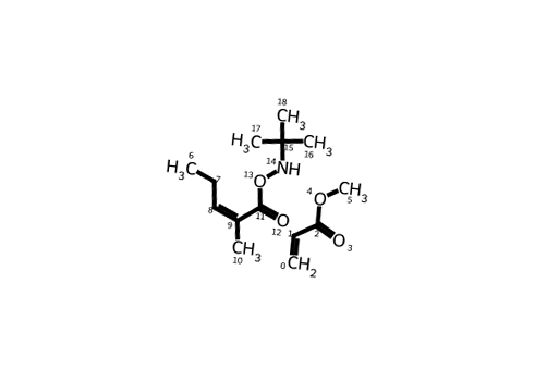 C=CC(=O)OC.CCC=C(C)C(=O)ONC(C)(C)C